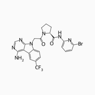 Nc1ncnc2c1c1cc(C(F)(F)F)ccc1n2CC(=O)N1CCC[C@H]1C(=O)Nc1cccc(Br)n1